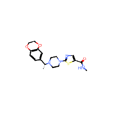 CNC(=O)c1cnc(N2CCN([C@H](C)c3ccc4c(c3)OCCO4)CC2)s1